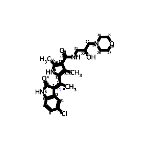 C/C(=C1/C(=O)Nc2ccc(Cl)cc21)c1[nH]c(C)c(C(=O)NCC(O)CN2CCOCC2)c1C